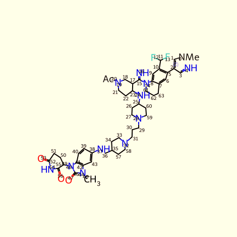 CN/C=C(\C=N)c1cc2c(cc1C(F)F)N(C(=N)C1CN(C(C)=O)CCC1NC1CCN(CCCN3CCC(CNc4ccc5c(c4)n(C)c(=O)n5C4CCC(=O)NC4=O)CC3)CC1)CCC2